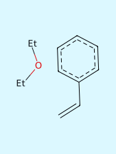 C=Cc1ccccc1.CCOCC